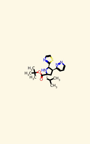 CC(C)C[C@@]1(C(=O)OC(C)(C)C)C[C@H](c2cccnn2)[C@H](c2nccs2)N1